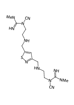 CNC(=N)N(C#N)CCNCc1cc(CNCCN(C#N)C(=N)NC)sn1